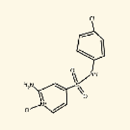 Nc1cc(S(=O)(=O)Nc2ccc(Cl)cc2)cc[n+]1[O-]